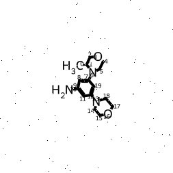 C[C@H]1COCCN1c1cc(N)cc(N2CCOCC2)c1